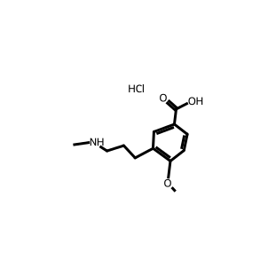 CNCCCc1cc(C(=O)O)ccc1OC.Cl